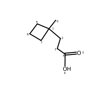 CC1(CCC(=O)O)CCC1